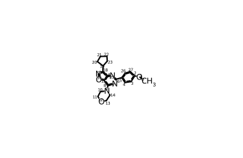 COc1ccc(-c2nc(N3CCOCC3)c3onc(C4CCCC4)c3n2)cc1